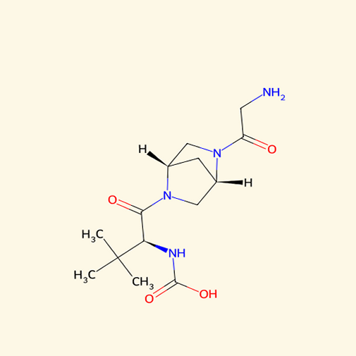 CC(C)(C)[C@H](NC(=O)O)C(=O)N1C[C@@H]2C[C@H]1CN2C(=O)CN